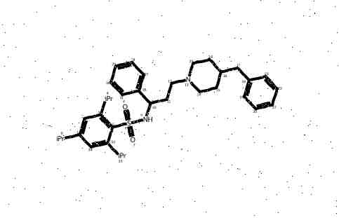 CC(C)c1cc(C(C)C)c(S(=O)(=O)NC(CCN2CCC(Cc3ccccc3)CC2)c2ccccc2)c(C(C)C)c1